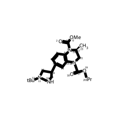 COC(=O)N1c2ccc(C3CNN(C(C)(C)C)C3)cc2N(C(=O)OC(C)C)C[C@@H]1C